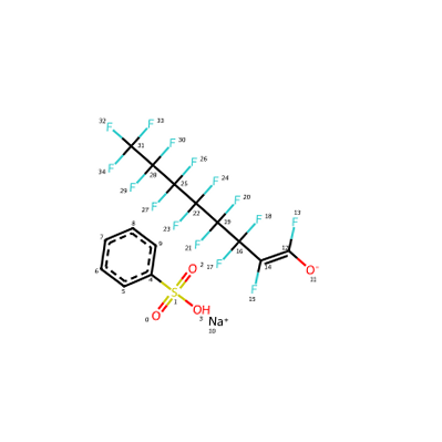 O=S(=O)(O)c1ccccc1.[Na+].[O-]C(F)=C(F)C(F)(F)C(F)(F)C(F)(F)C(F)(F)C(F)(F)C(F)(F)F